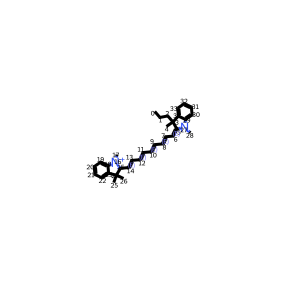 CCCC1(C)\C(=C/C=C/C=C/C=C/C=C/C2=[N+](C)c3ccccc3C2(C)C)N(C)c2ccccc21